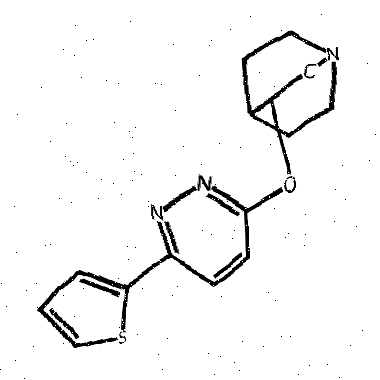 c1csc(-c2ccc(OC3CN4CCC3CC4)nn2)c1